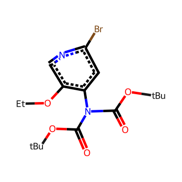 CCOc1cnc(Br)cc1N(C(=O)OC(C)(C)C)C(=O)OC(C)(C)C